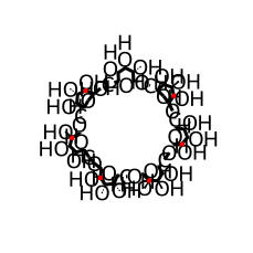 O[C@@H]1[C@H](O)[C@@H]2OC[C@H]3O[C@H](OC[C@H]4O[C@H](OC[C@H]5O[C@H](OC[C@@H]6O[C@@H](OC[C@@H]7O[C@@H](OC[C@@H]8O[C@@H](OC[C@@H](O2)[C@@H]1O)[C@H](O)[C@@H](O)[C@H]8O)[C@H](O)[C@@H](O)[C@H]7O)[C@H](O)[C@@H](O)[C@H]6O)[C@H](O)[C@H](O)[C@H]5O)[C@H](O)[C@H](O)[C@H]4O)[C@H](O)[C@H](O)[C@H]3O